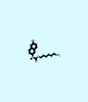 CC(=O)c1ccc2cc(N(C)C(=O)OCCCCCCN)ccc2c1